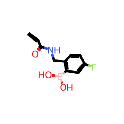 C=CC(=O)NCc1ccc(F)cc1B(O)O